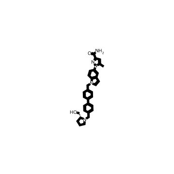 Cc1cc(C(N)=O)nn1-c1ccc2c(ccn2Cc2ccc(-c3ccc(CN4CCC[C@@H]4CO)cc3)cc2)c1